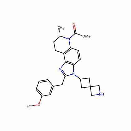 COC(=O)N1c2ccc3c(nc(Cc4cccc(OC(C)C)c4)n3C3CC4(CNC4)C3)c2CC[C@@H]1C